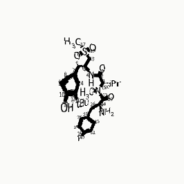 CC(C)[C@@H](C(=O)N[C@@H](Cc1ccc(O)c(C(C)(C)C)c1)CS(C)(=O)=O)N(C)C(=O)[C@@H](N)Cc1ccc(F)cc1